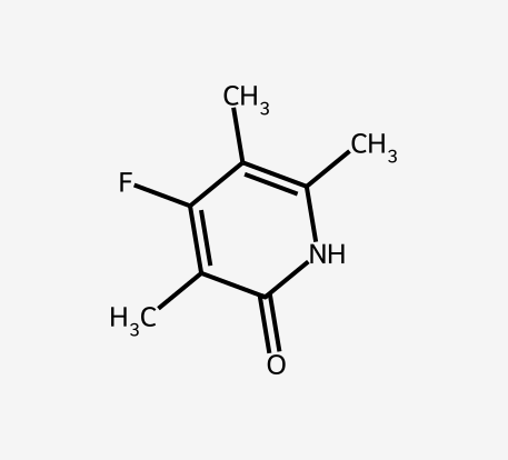 Cc1[nH]c(=O)c(C)c(F)c1C